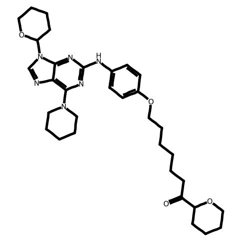 O=C(CCCCCCOc1ccc(Nc2nc(N3CCCCC3)c3ncn(C4CCCCO4)c3n2)cc1)C1CCCCO1